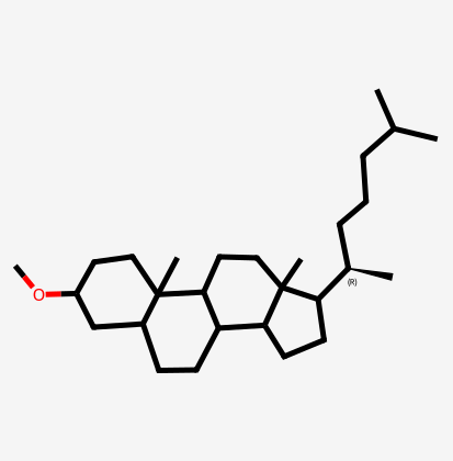 COC1CCC2(C)C(CCC3C2CCC2(C)C3CCC2[C@H](C)CCCC(C)C)C1